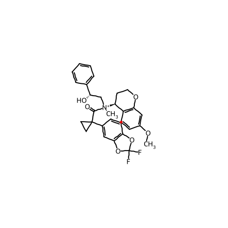 COc1ccc2c(c1)OCC[C@@H]2[N+](C)(C[C@H](O)c1ccccc1)C(=O)C1(c2ccc3c(c2)OC(F)(F)O3)CC1